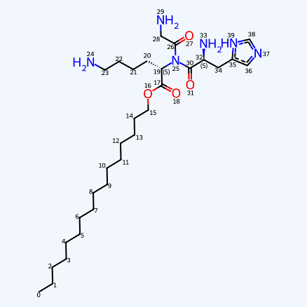 CCCCCCCCCCCCCCCCOC(=O)[C@H](CCCCN)N(C(=O)CN)C(=O)[C@@H](N)Cc1cnc[nH]1